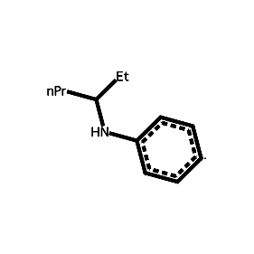 CCCC(CC)Nc1cc[c]cc1